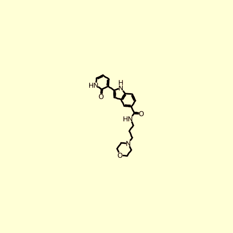 O=C(NCCCN1CCOCC1)c1ccc2[nH]c(-c3ccc[nH]c3=O)cc2c1